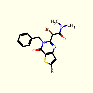 CN(C)C(=O)C(Br)c1nc2cc(Br)sc2c(=O)n1Cc1ccccc1